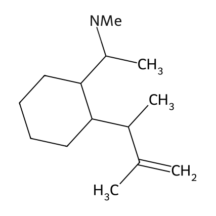 C=C(C)C(C)C1CCCCC1C(C)NC